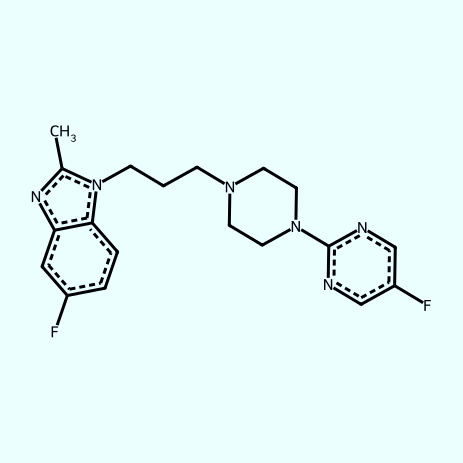 Cc1nc2cc(F)ccc2n1CCCN1CCN(c2ncc(F)cn2)CC1